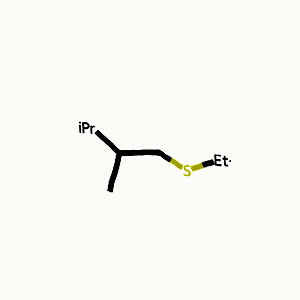 C[CH]SCC(C)C(C)C